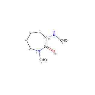 O=[C]N[C@H]1CCCCN(C=O)C1=O